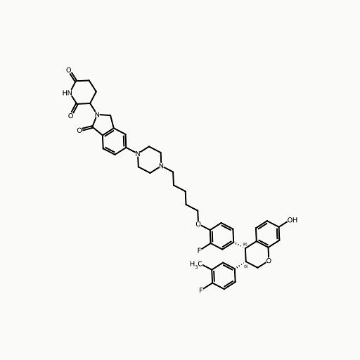 Cc1cc([C@H]2COc3cc(O)ccc3[C@H]2c2ccc(OCCCCCN3CCN(c4ccc5c(c4)CN(C4CCC(=O)NC4=O)C5=O)CC3)c(F)c2)ccc1F